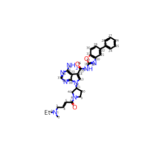 CCN(C)CC=CC(=O)N1CCC(n2cc(C(=O)Nc3nc4cc(-c5ccccc5)ccc4o3)c3c(N)ncnc32)C1